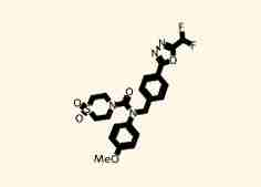 COc1ccc(N(Cc2ccc(-c3nnc(C(F)F)o3)cc2)C(=O)N2CCS(=O)(=O)CC2)cc1